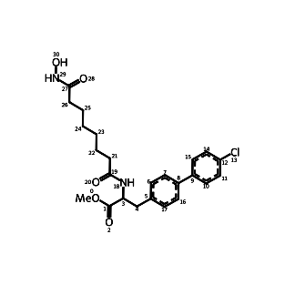 COC(=O)C(Cc1ccc(-c2ccc(Cl)cc2)cc1)NC(=O)CCCCCCC(=O)NO